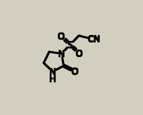 N#CCS(=O)(=O)N1CCNC1=O